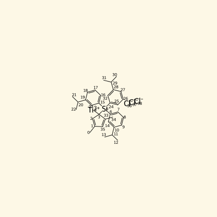 CC1=C[C]([Ti+3])([Si](c2cccc(C(C)C)c2)(c2cccc(C(C)C)c2)c2cccc(C(C)C)c2)C(C)=C1.[Cl-].[Cl-].[Cl-]